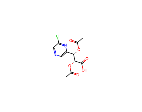 CC(=O)O[C@@H](C(=O)O)[C@@H](OC(C)=O)c1cncc(Cl)n1